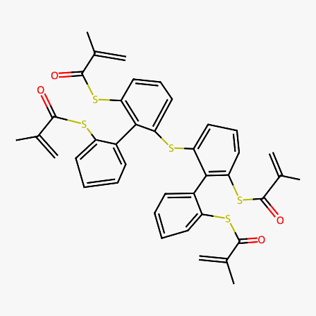 C=C(C)C(=O)Sc1ccccc1-c1c(SC(=O)C(=C)C)cccc1Sc1cccc(SC(=O)C(=C)C)c1-c1ccccc1SC(=O)C(=C)C